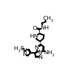 CCCNC(=O)[C@H]1CC[C@H](c2cc(N)n3ncc(-c4cnn(C)c4)c3n2)CN1